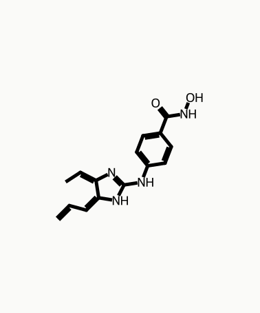 C=C/C=c1/[nH]c(Nc2ccc(C(=O)NO)cc2)n/c1=C/C